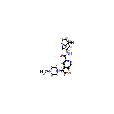 CN1CCN(c2csc3cnc(C(=O)N[C@@H]4C[C@H]5CCN(C5)C4)cc23)CC1